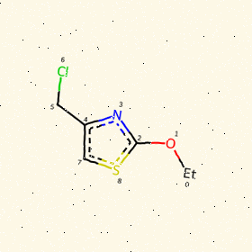 CCOc1nc(CCl)cs1